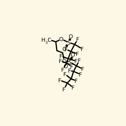 CC(CCOS(=O)(=O)C(F)(F)C(F)(F)C(F)(F)C(F)(F)F)OS(=O)(=O)C(F)(F)C(F)(F)C(F)(F)C(F)(F)F